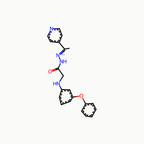 C/C(=N\NC(=O)CNc1cccc(Oc2ccccc2)c1)c1ccncc1